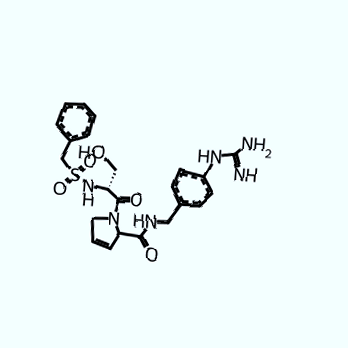 N=C(N)Nc1ccc(CNC(=O)C2C=CCN2C(=O)[C@@H](CO)NS(=O)(=O)Cc2ccccc2)cc1